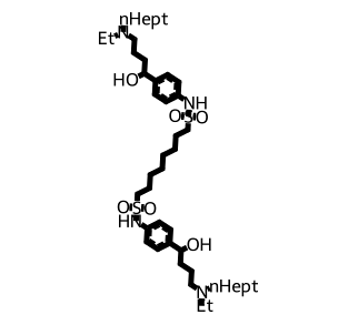 CCCCCCCN(CC)CCCC(O)c1ccc(NS(=O)(=O)CCCCCCCCS(=O)(=O)Nc2ccc(C(O)CCCN(CC)CCCCCCC)cc2)cc1